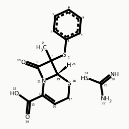 CC1(Sc2ccccc2)C(=O)N2C(C(=O)O)=CCS[C@H]21.N=C(N)S